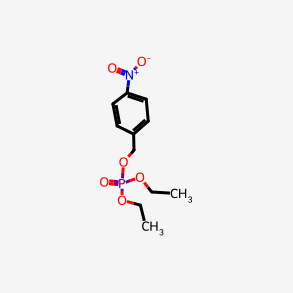 CCOP(=O)(OCC)OCc1ccc([N+](=O)[O-])cc1